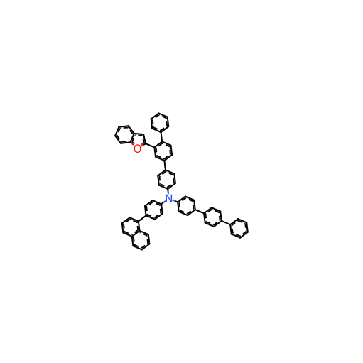 c1ccc(-c2ccc(-c3ccc(N(c4ccc(-c5ccc(-c6ccccc6)c(-c6cc7ccccc7o6)c5)cc4)c4ccc(-c5cccc6ccccc56)cc4)cc3)cc2)cc1